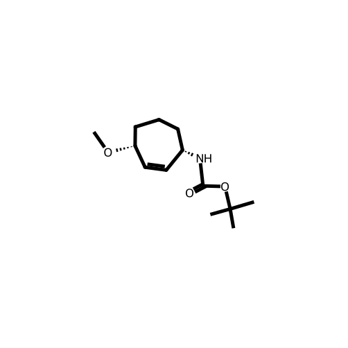 CO[C@H]1C=C[C@@H](NC(=O)OC(C)(C)C)CCC1